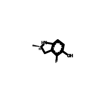 C[C@H]1Cc2c(ccc(O)c2F)N1